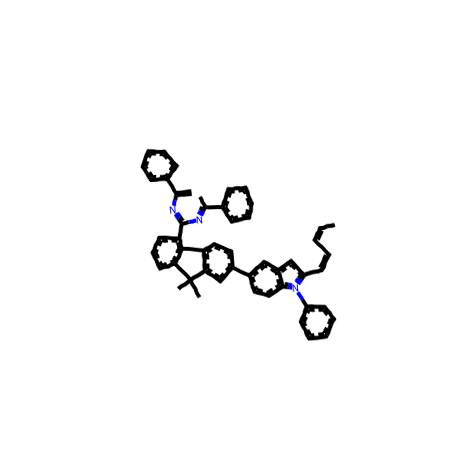 C=C(/N=C(\N=C(/C)c1ccccc1)c1cccc2c1-c1ccc(-c3ccc4c(c3)cc(/C=C\C=C/C)n4-c3ccccc3)cc1C2(C)C)c1ccccc1